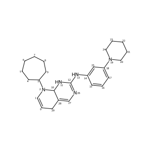 C1=CN(C2CCCCCC2)C2NC(Nc3cccc(N4CCCCC4)c3)=NC=C2C1